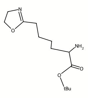 CC(C)(C)OC(=O)C(N)CCCCC1=NCCO1